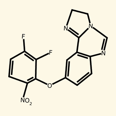 O=[N+]([O-])c1ccc(F)c(F)c1Oc1ccc2c(c1)C1=NCCN1C=N2